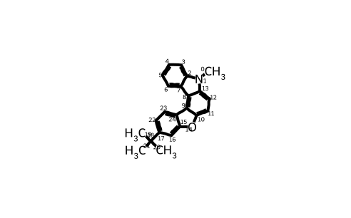 Cn1c2ccccc2c2c3c(ccc21)oc1cc(C(C)(C)C)ccc13